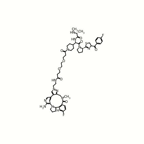 CN[C@H](C)C(=O)N[C@@H](C(=O)N1CCC[C@@H]1C1=NC(C(=O)c2ccc(F)cc2)CS1)C1CCN(C(=O)CCOCCOCCC(=O)NCCn2cc3c(n2)CN(C)C(=O)c2ccc(F)cc2[C@H]2CCCN2c2cc-3cnc2N)CC1